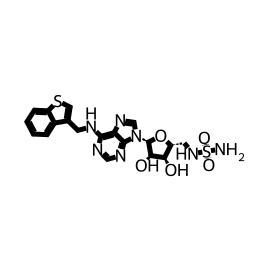 NS(=O)(=O)NC[C@H]1O[C@@H](n2cnc3c(NCc4csc5ccccc45)ncnc32)[C@H](O)[C@@H]1O